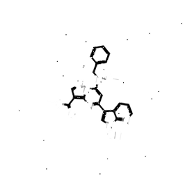 CN(Cc1ccccc1)c1cc(-c2cn(C)c3ncccc23)nc2c(C(=O)O)cnn12